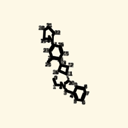 CCN(Cc1ccccc1)C[C@H]1C[C@H](c2ccc(N3CCCC3)cc2C)C1